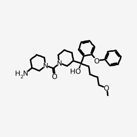 COCCCC[C@@](O)(c1ccccc1Oc1ccccc1)C1CCCN(C(=O)N2CCCC(N)C2)C1